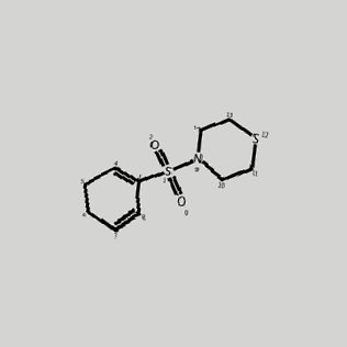 O=S(=O)(C1=C[CH]CC=C1)N1CCSCC1